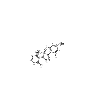 CCCCP(=O)(C(=O)c1c(C)cc(C(C)(C)C)cc1C)C(=O)c1c(Cl)cccc1Cl